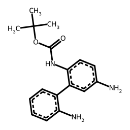 CC(C)(C)OC(=O)Nc1ccc(N)cc1-c1ccccc1N